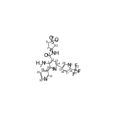 Nc1c(C(=O)N[C@@H]2CCS(=O)(=O)C2)cc(-c2ccc(C(F)(F)F)nc2)nc1-c1cccnc1